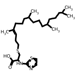 C/C(=C\CCSCC(Nc1nccs1)C(=O)O)CCCC(C)CCCC(C)CCCC(C)C